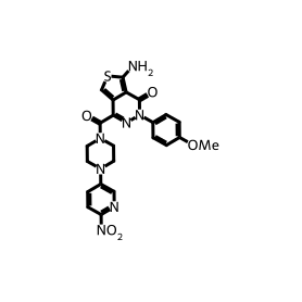 COc1ccc(-n2nc(C(=O)N3CCN(c4ccc([N+](=O)[O-])nc4)CC3)c3csc(N)c3c2=O)cc1